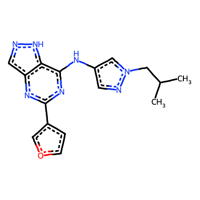 CC(C)Cn1cc(Nc2nc(-c3ccoc3)nc3cn[nH]c23)cn1